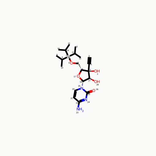 C#C[C@@]1(O)[C@@H](CO[Si](C(C)C)(C(C)C)C(C)C)O[C@@H](n2ccc(N)nc2=O)[C@@H]1O